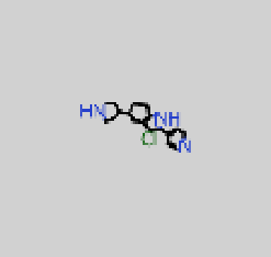 Clc1c(-c2ccncc2)[nH]c2ccc(C3CCNCC3)cc12